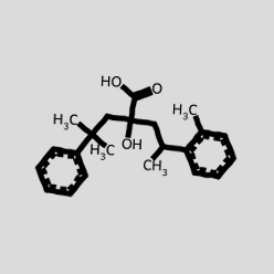 Cc1ccccc1C(C)CC(O)(CC(C)(C)c1ccccc1)C(=O)O